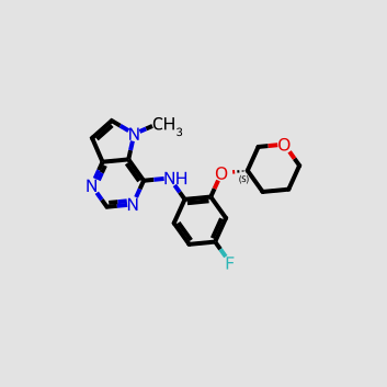 Cn1ccc2ncnc(Nc3ccc(F)cc3O[C@H]3CCCOC3)c21